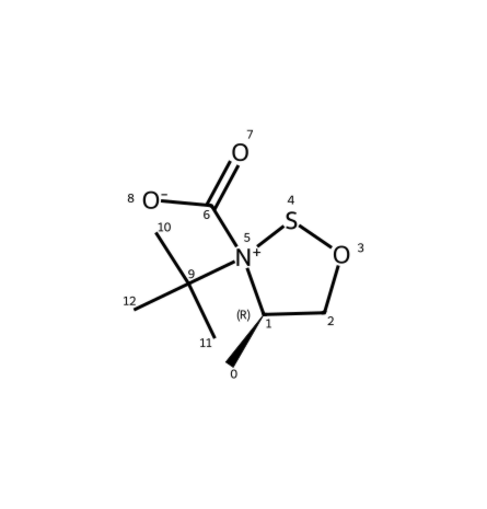 C[C@@H]1COS[N+]1(C(=O)[O-])C(C)(C)C